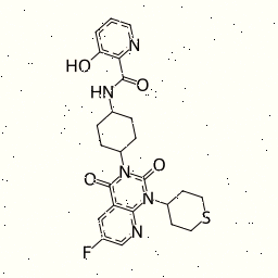 O=C(NC1CCC(n2c(=O)c3cc(F)cnc3n(C3CCSCC3)c2=O)CC1)c1ncccc1O